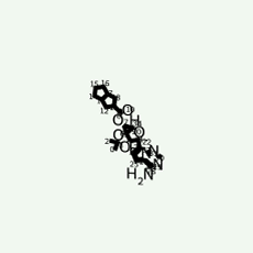 CC1(C)O[C@@H]2[C@@]3(O1)C(OC(=O)C1CC4CCCC4C1)[C@H]3O[C@@]2(C)c1ccc2c(N)ncnn12